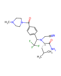 CC(C)C[C@@H](C(N)=O)N(CC#N)C(c1ccc(C(=O)N2CCN(C)CC2)cc1)C(F)(F)F